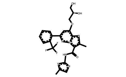 Cc1cnc(NC(=O)c2c(C)nc3c(OC[C@H](O)CO)cc(-c4ccccc4C(F)(F)F)nn23)s1